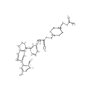 NC(=O)CCN1CCN(CCC(=O)Nc2cc(N3CCOc4cnc(-c5cc(Cl)ccc5F)cc43)ccn2)CC1